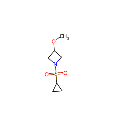 COC1CN(S(=O)(=O)C2CC2)C1